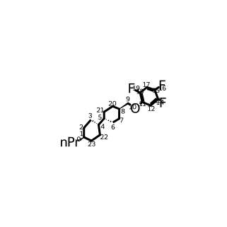 CCC[C@H]1CC[C@H]([C@H]2CC[C@H](COc3cc(F)c(F)cc3F)CC2)CC1